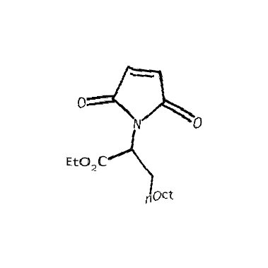 CCCCCCCCCC(C(=O)OCC)N1C(=O)C=CC1=O